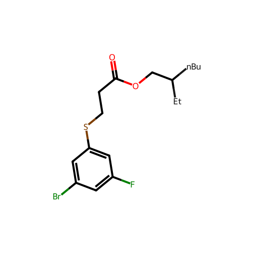 CCCCC(CC)COC(=O)CCSc1cc(F)cc(Br)c1